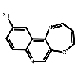 [2H]c1ccc2ncc3c(c2c1)N=CC=CO3